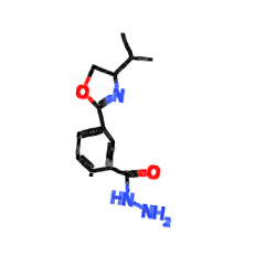 CC(C)C1COC(c2cc[c]c(C(=O)NN)c2)=N1